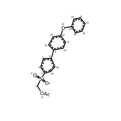 CC(=O)OCS(=O)(=O)c1ccc(-c2ccc(Oc3ccccc3)cc2)cc1